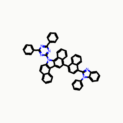 c1ccc(-c2nc(-c3ccccc3)nc(-n3c4ccc5ccccc5c4c4cc(-c5ccc(-c6nc7ccccc7n6-c6ccccc6)c6ccccc56)c5ccccc5c43)n2)cc1